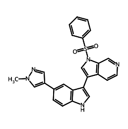 Cn1cc(-c2ccc3[nH]cc(-c4cn(S(=O)(=O)c5ccccc5)c5cnccc45)c3c2)cn1